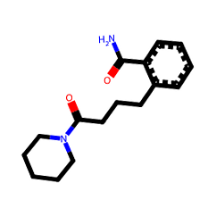 NC(=O)c1ccccc1CC[CH]C(=O)N1CCCCC1